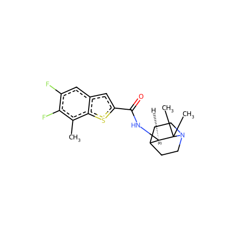 Cc1c(F)c(F)cc2cc(C(=O)N[C@@H]3C4CCN(CC4)C3(C)C)sc12